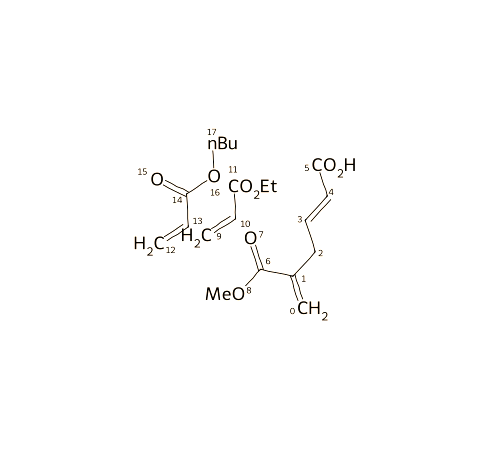 C=C(CC=CC(=O)O)C(=O)OC.C=CC(=O)OCC.C=CC(=O)OCCCC